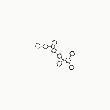 C1=CC2c3cc(-c4ccc5c(c4)C4C=CCCC4N5C4=CC(c5ccccc5)CC(c5ccccc5)C4)ccc3N(C3=CC=C(C4C=CCCC4)CC3)C2C=C1